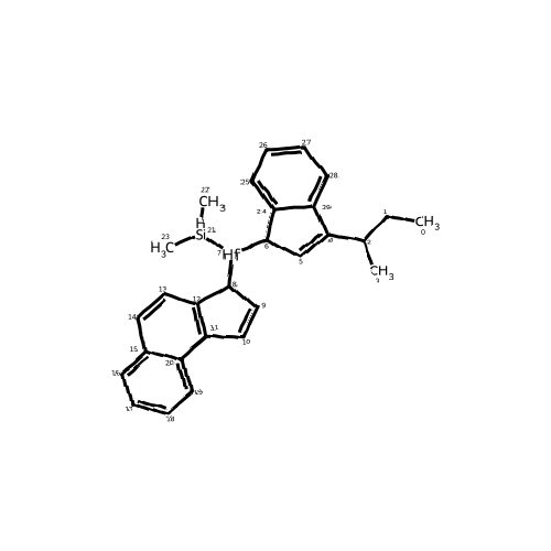 CCC(C)C1=C[CH]([Hf]([CH]2C=Cc3c2ccc2ccccc32)[SiH](C)C)c2ccccc21